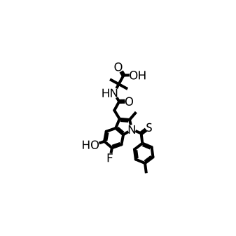 Cc1ccc(C(=S)n2c(C)c(CC(=O)NC(C)(C)C(=O)O)c3cc(O)c(F)cc32)cc1